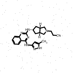 Cc1cc(Nc2nc(N[C@@H]3C[C@@H]4CN(CCC#N)C[C@@H]4C3)nc3ccccc23)n[nH]1